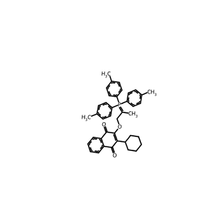 CC(COC1=C(C2CCCCC2)C(=O)c2ccccc2C1=O)=P(c1ccc(C)cc1)(c1ccc(C)cc1)c1ccc(C)cc1